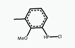 COc1c(C)cccc1PCl